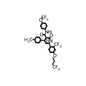 Cc1ccc(-c2cc(-c3ccc(OCCCC(F)(F)F)cc3C(F)(F)F)[nH]c(=O)c2C(=O)Nc2ccc(OC(F)(F)F)cc2)cc1